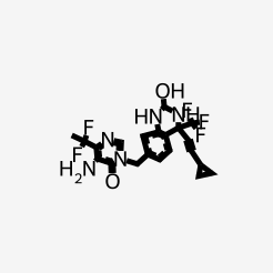 CC(F)(F)c1ncn(Cc2ccc3c(c2)NC(O)NC3(C#CC2CC2)C(F)(F)F)c(=O)c1N